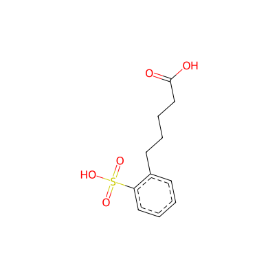 O=C(O)CCCCc1ccccc1S(=O)(=O)O